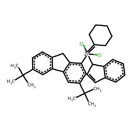 CC(C)(C)c1ccc2c(c1)-c1cc(C(C)(C)C)c[c]([Zr]([Cl])([Cl])(=[C]3CCCCC3)[CH]3C=Cc4ccccc43)c1C2